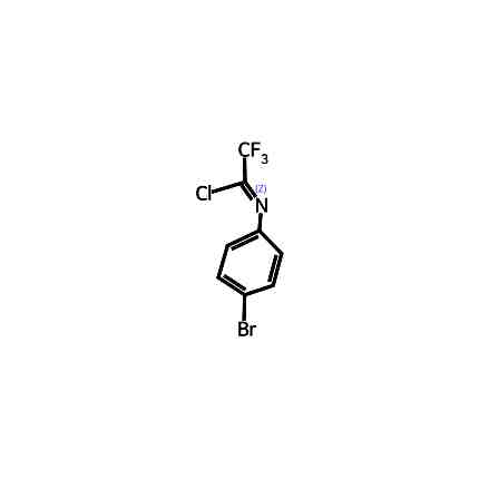 FC(F)(F)/C(Cl)=N/c1ccc(Br)cc1